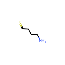 NCCCC=S